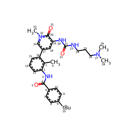 Cc1c(NC(=O)c2ccc(C(C)(C)C)cc2)cccc1-c1cc(NC(=O)NCCCN(C)C)c(=O)n(C)c1